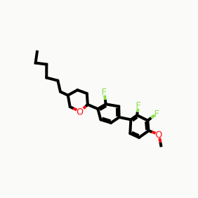 CCCCCCC1CCC(c2ccc(-c3ccc(OC)c(F)c3F)cc2F)OC1